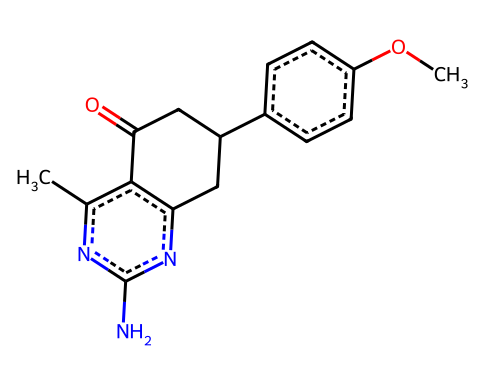 COc1ccc(C2CC(=O)c3c(C)nc(N)nc3C2)cc1